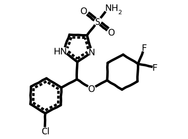 NS(=O)(=O)c1c[nH]c(C(OC2CCC(F)(F)CC2)c2cccc(Cl)c2)n1